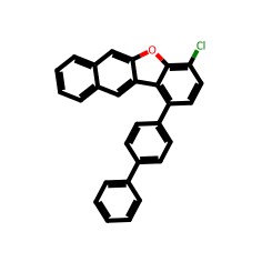 Clc1ccc(-c2ccc(-c3ccccc3)cc2)c2c1oc1cc3ccccc3cc12